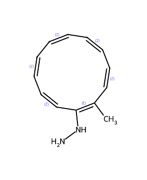 CC1=C(NN)/C=C\C=C/C=C\C=C/C=C\1